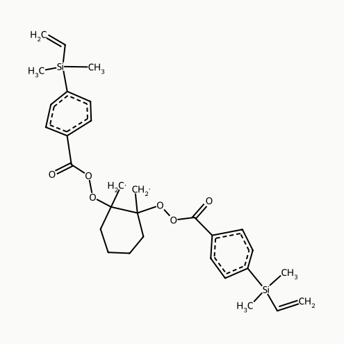 [CH2]C1(OOC(=O)c2ccc([Si](C)(C)C=C)cc2)CCCCC1([CH2])OOC(=O)c1ccc([Si](C)(C)C=C)cc1